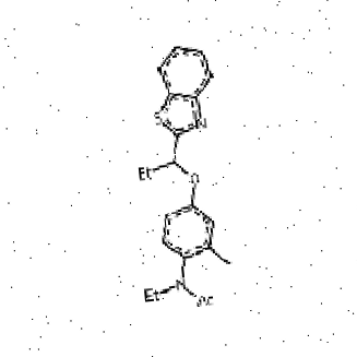 CCC(Oc1ccc(N(CC)C(C)=O)c(C)c1)c1nc2ccccc2s1